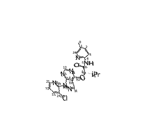 Cc1ccc(NC(=O)[C@@H](Oc2ncnc3c2cnn3-c2ncccc2Cl)C(C)C)nc1